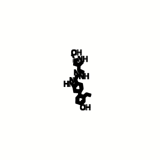 CCc1cc(O)ccc1-c1ccc2c(-c3nc(C4=C[C@H](CO)NC4)c[nH]3)n[nH]c2c1